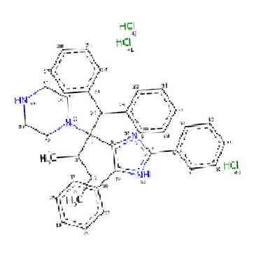 CCC(C)C(c1nc(-c2ccccc2)[nH]c1-c1ccccc1)(C(c1ccccc1)c1ccccc1)N1CCNCC1.Cl.Cl.Cl